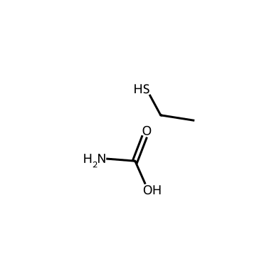 CCS.NC(=O)O